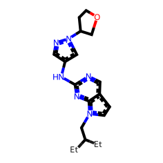 CCC(CC)Cn1ccc2cnc(Nc3cnn(C4CCOC4)c3)nc21